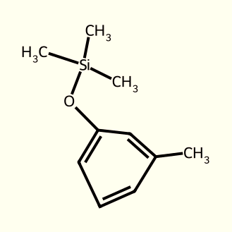 Cc1cccc(O[Si](C)(C)C)c1